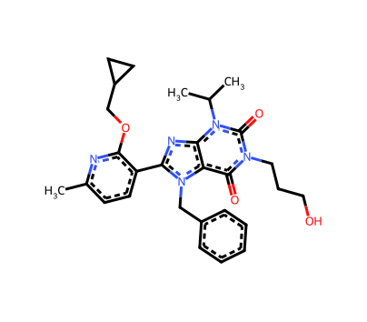 Cc1ccc(-c2nc3c(c(=O)n(CCCO)c(=O)n3C(C)C)n2Cc2ccccc2)c(OCC2CC2)n1